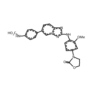 COc1cc(N2CCOC2=O)ccc1Nc1nc2ccc(-c3ccc(NC(=O)O)cc3)cn2n1